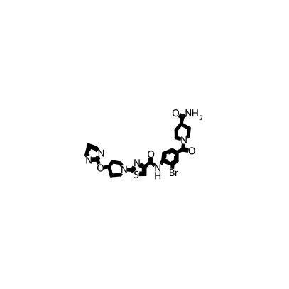 NC(=O)C1CCN(C(=O)c2ccc(NC(=O)c3csc(N4CCC(Oc5ncccn5)CC4)n3)c(Br)c2)CC1